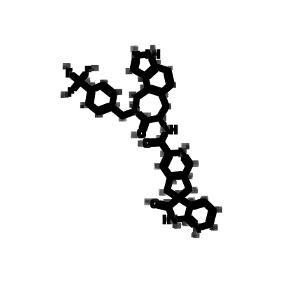 O=C(N[C@@H]1Cc2ccc3[nH]ncc3c2CN(Cc2ccc(C(F)(F)F)cc2)C1=O)c1cc2c(cn1)CC1(C2)C(=O)Nc2ncccc21